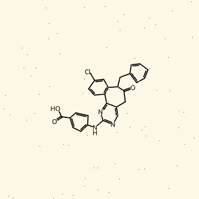 O=C(O)c1ccc(Nc2ncc3c(n2)-c2ccc(Cl)cc2C(Cc2ccccc2)C(=O)C3)cc1